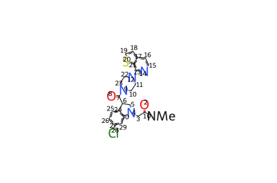 CNC(=O)CN1CC(C(=O)N2CCN(c3nccc4ccsc34)CC2)c2ccc(Cl)cc21